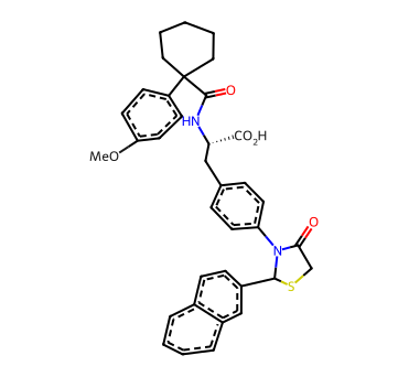 COc1ccc(C2(C(=O)N[C@@H](Cc3ccc(N4C(=O)CSC4c4ccc5ccccc5c4)cc3)C(=O)O)CCCCC2)cc1